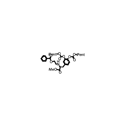 CCCC(C)OC(=O)Oc1ccc(C[C@H](NCCOC(=O)c2ccccc2)C(=O)OC)cc1OC(=O)OC(C)CCC